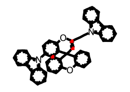 c1ccc2c(c1)Oc1ccccc1C21c2ccc(-n3c4ccccc4c4ccccc43)cc2Oc2ccc(-n3c4ccccc4c4ccccc43)cc21